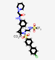 O=C(CN1CCCCC1)Nc1cccc(C2CC2(C(=O)O)N(CCNS(=O)(=O)C(F)(F)F)S(=O)(=O)c2ccc(-c3ccc(Cl)cc3)cc2)c1